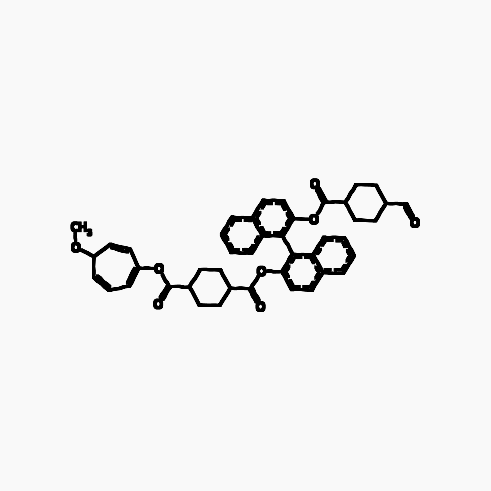 COC1C=CC=C(OC(=O)C2CCC(C(=O)Oc3ccc4ccccc4c3-c3c(OC(=O)C4CCC(C=O)CC4)ccc4ccccc34)CC2)C=C1